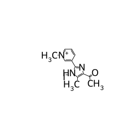 CC(=O)c1nc(-c2ccc[n+](C)c2)[nH]c1C.[I-]